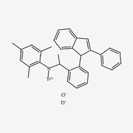 Cc1cc(C)c([N]([Ti+2])C(C)c2ccccc2C2C(c3ccccc3)=Cc3ccccc32)c(C)c1.[Cl-].[Cl-]